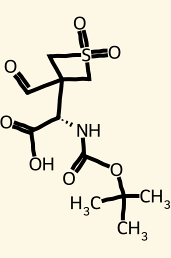 CC(C)(C)OC(=O)N[C@H](C(=O)O)C1(C=O)CS(=O)(=O)C1